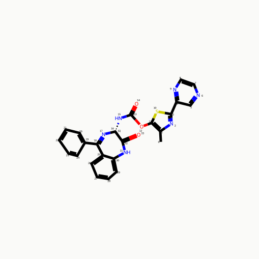 Cc1nc(-c2cnccn2)sc1OC(=O)N[C@H]1N=C(c2ccccc2)c2ccccc2NC1=O